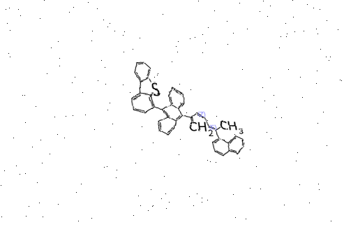 C=C(/C=C\C=C(/C)c1cccc2ccccc12)c1c2ccccc2c(-c2cccc3c2sc2ccccc23)c2ccccc12